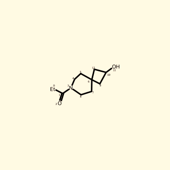 CCC(=O)N1CCC2(CC1)CC(O)C2